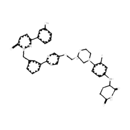 N#Cc1cccc(-c2ccc(=O)n(Cc3cccc(-c4ncc(OC[C@@H]5CN(c6ccc(NC7CCC(=O)NC7=O)cc6F)CCO5)cn4)c3)n2)c1